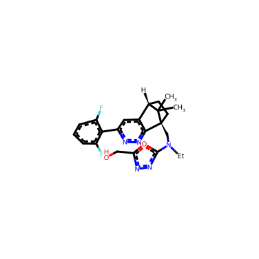 CCN(C[C@@]12CC[C@@H](c3cc(-c4c(F)cccc4F)nnc31)C2(C)C)c1nnc(CO)o1